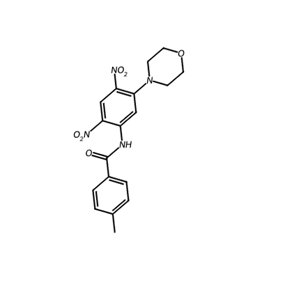 Cc1ccc(C(=O)Nc2cc(N3CCOCC3)c([N+](=O)[O-])cc2[N+](=O)[O-])cc1